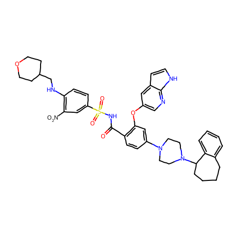 O=C(NS(=O)(=O)c1ccc(NCC2CCOCC2)c([N+](=O)[O-])c1)c1ccc(N2CCN(C3CCCCc4ccccc43)CC2)cc1Oc1cnc2[nH]ccc2c1